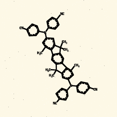 [C-]#[N+]c1ccc(N(c2ccc([N+]#[C-])cc2)c2cc(C)c3c(c2)C(C)(C)c2cc4c(cc2-3)C(C)(C)c2cc(N(c3ccc(C#N)cc3)c3ccc(C#N)cc3)cc(C)c2-4)cc1